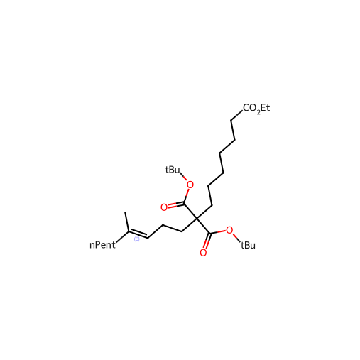 CCCCC/C(C)=C/CCC(CCCCCCC(=O)OCC)(C(=O)OC(C)(C)C)C(=O)OC(C)(C)C